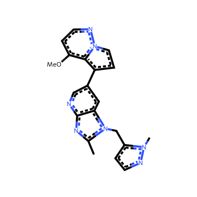 COc1ccnn2ccc(-c3cnc4nc(C)n(Cc5ccnn5C)c4c3)c12